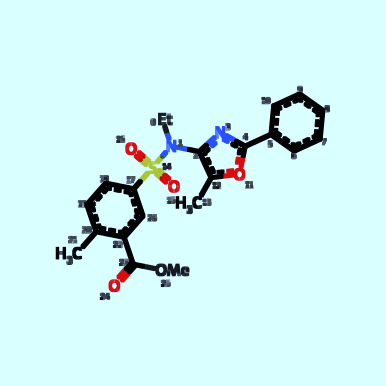 CCN(c1nc(-c2ccccc2)oc1C)S(=O)(=O)c1ccc(C)c(C(=O)OC)c1